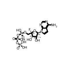 C[C@@]1(O)[C@H](n2ccc3c(N)ncnc32)O[C@](F)(COP(=O)(O)OP(=O)(O)OP(=O)(O)O)[C@H]1O